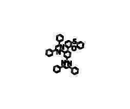 c1ccc(-c2cc(-c3ccccc3)nc(-c3ccc(-c4cccc5c4Oc4ccccc4S5)c(-c4nc(-c5ccccc5)cc(-c5ccccc5)n4)c3)n2)cc1